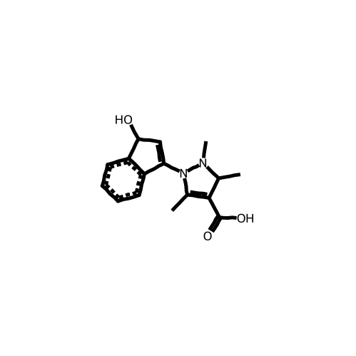 CC1=C(C(=O)O)C(C)N(C)N1C1=CC(O)c2ccccc21